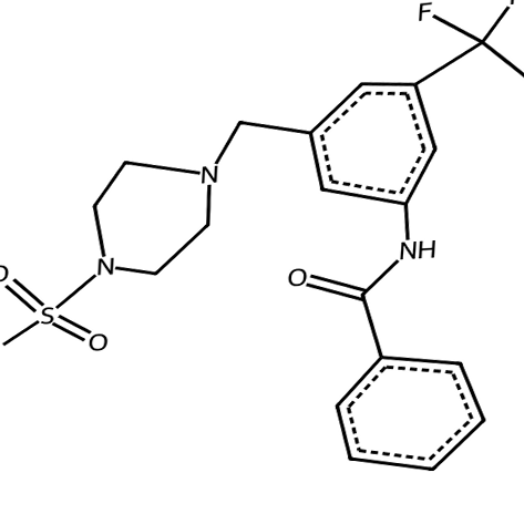 CS(=O)(=O)N1CCN(Cc2cc(NC(=O)c3ccccc3)cc(C(F)(F)F)c2)CC1